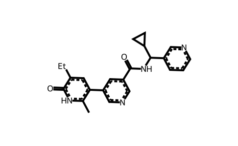 CCc1cc(-c2cncc(C(=O)NC(c3cccnc3)C3CC3)c2)c(C)[nH]c1=O